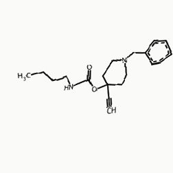 C#CC1(OC(=O)NCCCC)CCN(Cc2ccccc2)CC1